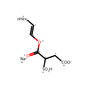 CCCCCCC=COC(=O)C(CC(=O)[O-])S(=O)(=O)O.[Na+]